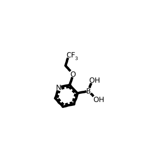 OB(O)c1cccnc1OCC(F)(F)F